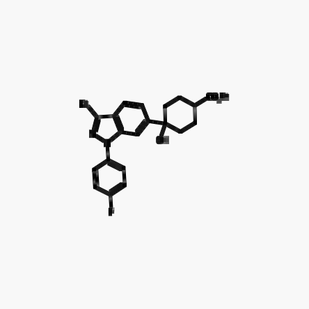 CCOC(=O)C1CCC(O)(c2ccc3c(CC)nn(-c4ccc(F)cc4)c3c2)CC1